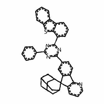 c1ccc(-c2nc(-c3ccc4c(c3)C3(c5cccnc5-4)C4CC5CC(C4)CC3C5)nc(-c3cccc4c3sc3ccccc34)n2)cc1